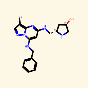 CC(C)c1cnn2c(NCc3ccccc3)cc(NC[C@@H]3C[C@@H](O)CN3)nc12